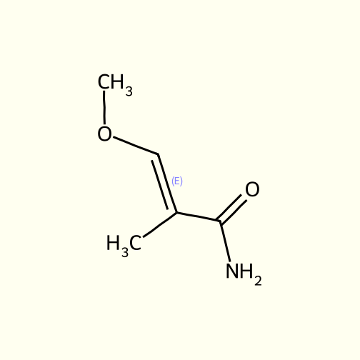 CO/C=C(\C)C(N)=O